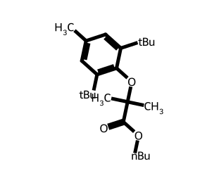 CCCCOC(=O)C(C)(C)Oc1c(C(C)(C)C)cc(C)cc1C(C)(C)C